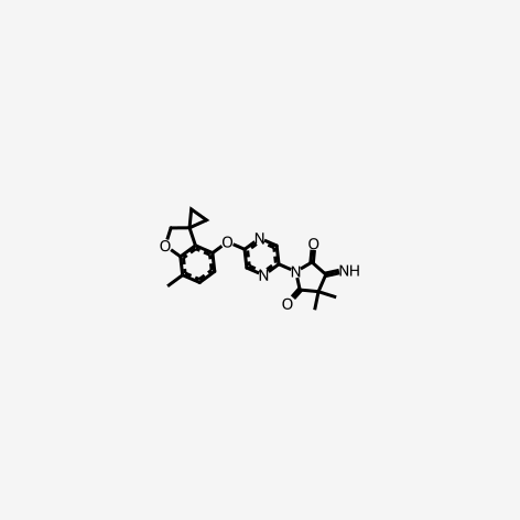 Cc1ccc(Oc2cnc(N3C(=O)C(=N)C(C)(C)C3=O)cn2)c2c1OCC21CC1